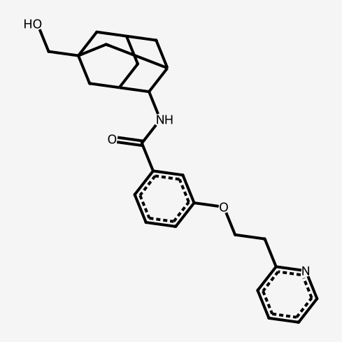 O=C(NC1C2CC3CC1CC(CO)(C3)C2)c1cccc(OCCc2ccccn2)c1